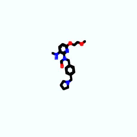 CNc1ccc(OCCOC)nc1N(C=O)Cc1ccc(CN2CCCC2)cc1